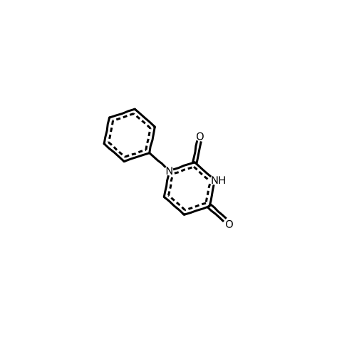 O=c1ccn(-c2ccccc2)c(=O)[nH]1